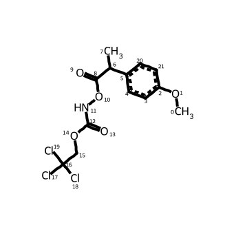 COc1ccc(C(C)C(=O)ONC(=O)OCC(Cl)(Cl)Cl)cc1